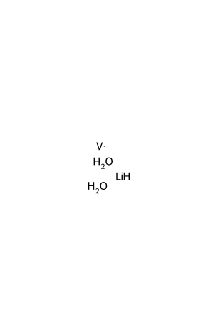 O.O.[LiH].[V]